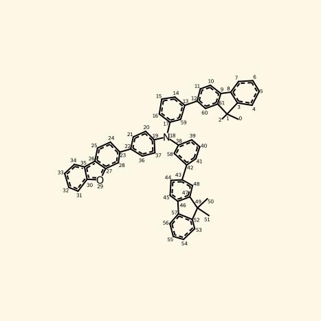 CC1(C)c2ccccc2-c2ccc(-c3cccc(N(c4ccc(-c5ccc6c(c5)oc5ccccc56)cc4)c4cccc(-c5ccc6c(c5)C(C)(C)c5ccccc5-6)c4)c3)cc21